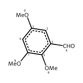 COc1cc(C=O)c(OC)c(OC)c1